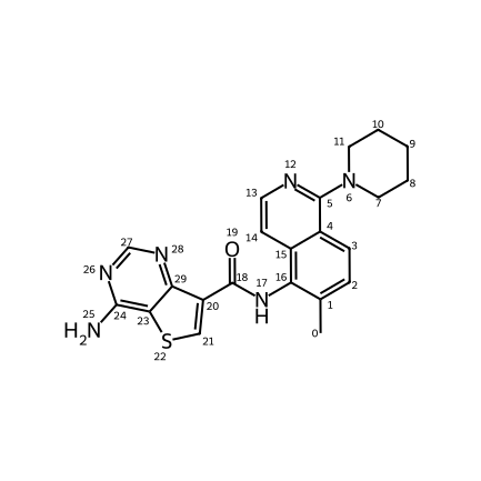 Cc1ccc2c(N3CCCCC3)nccc2c1NC(=O)c1csc2c(N)ncnc12